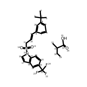 CC(C)(C)c1cccc(C=CCS(=O)(=O)n2ccc3cc(C(F)(F)F)ccc32)c1.CCC(C)C(=O)O